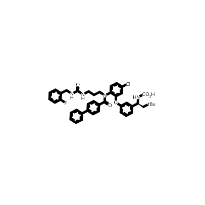 CC(C)(C)C[C@H](NC(=O)O)c1cccc(Oc2cc(Cl)ccc2N(CCCNC(=O)NCc2ccccc2F)C(=O)c2ccc(-c3ccccc3)cc2)c1